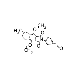 CCOc1c2c(c(OCC)c3cc(C)ccc13)C(=O)N(c1ccc(CC=O)cc1)C2=O